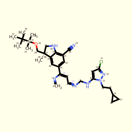 C=N/C(=C\C=N/CNc1cc(Cl)nn1CCC1CC1)c1cc(C#N)c2c(c1)[C@@](C)(CO[Si](C)(C)C(C)(C)C)CN2